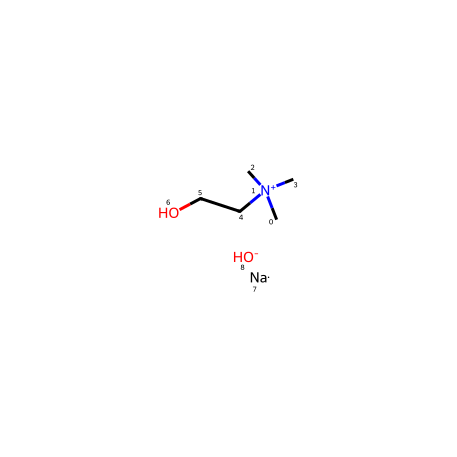 C[N+](C)(C)CCO.[Na].[OH-]